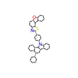 c1ccc(-c2cc3c4ccccc4n(-c4ccc(-c5nc6ccc7oc8ccccc8c7c6s5)cc4)c3c3ccccc23)cc1